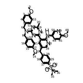 COc1ccc(CN(Cc2ccc(OC)cc2)c2nc(C)nc(-c3cc(Cc4ccc(S(=O)(=O)N(C)C)cc4)cnc3Nc3ccc(OC)nc3)n2)cc1